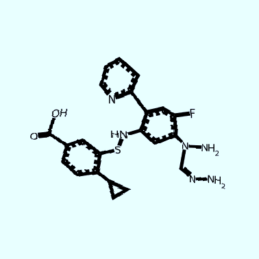 N/N=C\N(N)c1cc(NSc2cc(C(=O)O)ccc2C2CC2)c(-c2ccccn2)cc1F